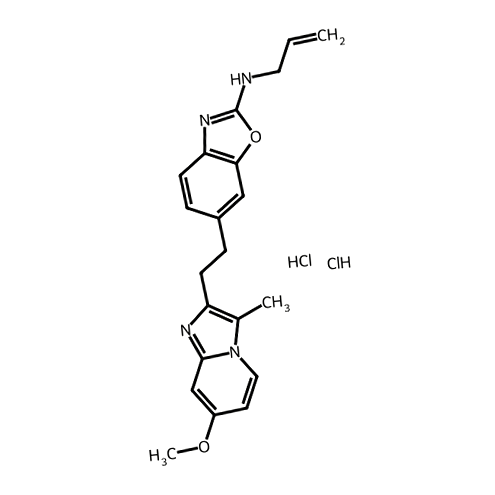 C=CCNc1nc2ccc(CCc3nc4cc(OC)ccn4c3C)cc2o1.Cl.Cl